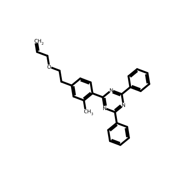 C=CCOCCc1ccc(-c2nc(-c3ccccc3)nc(-c3ccccc3)n2)c(C)c1